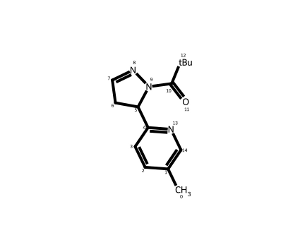 Cc1ccc(C2CC=NN2C(=O)C(C)(C)C)nc1